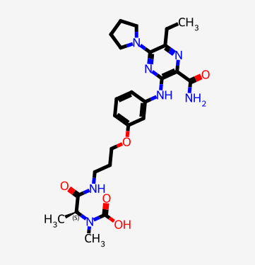 CCc1nc(C(N)=O)c(Nc2cccc(OCCCNC(=O)[C@H](C)N(C)C(=O)O)c2)nc1N1CCCC1